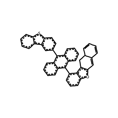 C1=CC2=Cc3oc4cccc(-c5c6ccccc6c(-c6ccc7sc8ccccc8c7c6)c6ccccc56)c4c3CC2C=C1